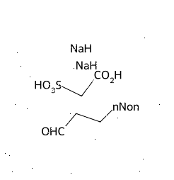 CCCCCCCCCCCC=O.O=C(O)CS(=O)(=O)O.[NaH].[NaH]